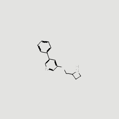 c1ccc(-c2cncc(OCC3CCN3)c2)cc1